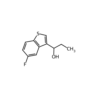 CCC(O)c1csc2ccc(F)cc12